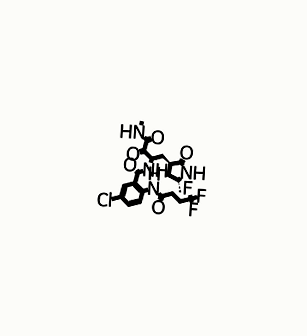 CNC(=O)C(=O)C(C[C@@H]1C[C@@H](C)NC1=O)NC(=O)c1cc(Cl)ccc1NC(=O)CCC(F)(F)F